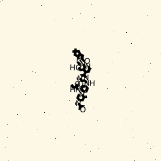 C=CC(=O)Nc1cc(Nc2nc(-c3ccnc(N4CCn5c(cc6c5CC(C)(C)C6)C4=O)c3CO)cn(C)c2=O)ccc1N1CCC(N(C)C2COC2)CC1C